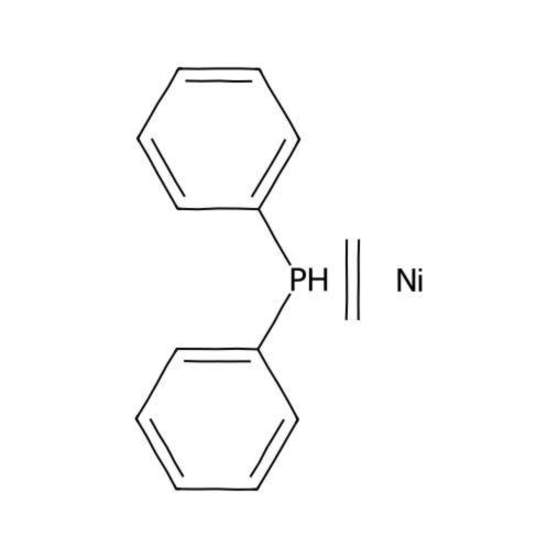 C=C.[Ni].c1ccc(Pc2ccccc2)cc1